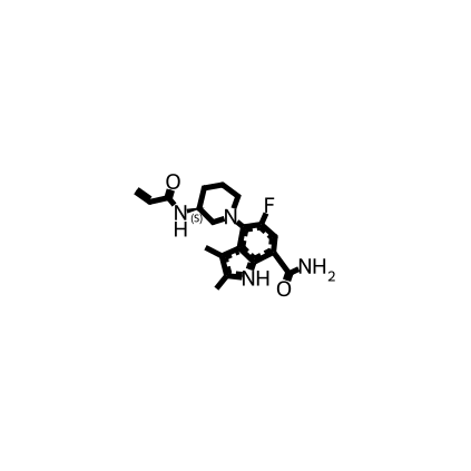 C=CC(=O)N[C@H]1CCCN(c2c(F)cc(C(N)=O)c3[nH]c(C)c(C)c23)C1